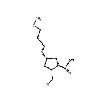 COCCCO[C@@H]1C[C@H](CO)N(C(=O)O)C1